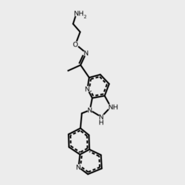 C/C(=N\OCCN)c1ccc2c(n1)N(Cc1ccc3ncccc3c1)NN2